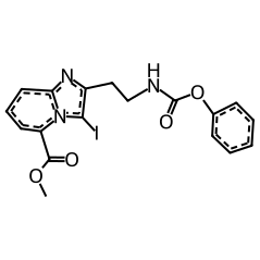 COC(=O)c1cccc2nc(CCNC(=O)Oc3ccccc3)c(I)n12